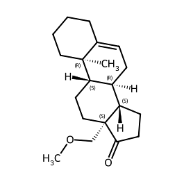 COC[C@]12CC[C@H]3[C@@H](CC=C4CCCC[C@@]43C)[C@@H]1CCC2=O